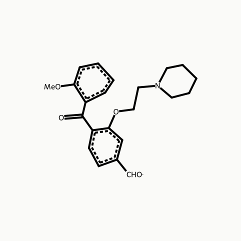 COc1ccccc1C(=O)c1ccc([C]=O)cc1OCCN1CCCCC1